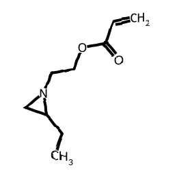 C=CC(=O)OCCN1CC1CC